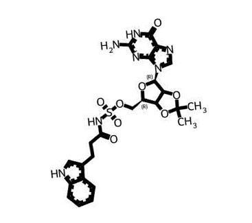 CC1(C)OC2C(O1)[C@@H](COS(=O)(=O)NC(=O)CCc1c[nH]c3ccccc13)O[C@H]2n1cnc2c(=O)[nH]c(N)nc21